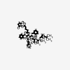 CC(C)c1nc(CN(C)C(=O)N[C@H](C(=O)N[C@@H](Cc2ccccc2)C[C@H](OC(=O)CCCC(=O)ON2C(=O)CCC2=O)[C@H](Cc2ccccc2)NC(=O)OCc2cncs2)C(C)C)cs1